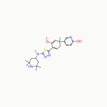 COC1=CC(C)(c2ccc(O)nc2)CC=C1c1nnc(N(C)C2CC(C)(C)NC(C)(C)C2)s1